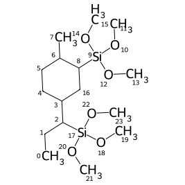 CCC(C1CCC(C)C([Si](OC)(OC)OC)C1)[Si](OC)(OC)OC